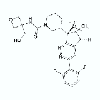 CC1(C)[C@H]2CC[C@]1([C@H]1CCCN(C(=O)NC3(CO)COC3)C1)c1nnc(-c3c(F)cccc3F)cc12